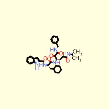 CC(C)NC(=O)CC[C@H](NC(=O)[C@H](CC1CCCCC1)NC(=O)c1cc2ccccc2[nH]1)C(=O)C(=O)NCc1ccccc1